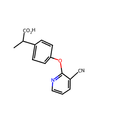 CC(C(=O)O)c1ccc(Oc2ncccc2C#N)cc1